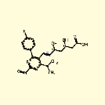 CC(C)c1nc(N=O)nc(-c2ccc(F)cc2)c1/C=C/[C@@H](O)C[C@@H](O)CC(=O)O